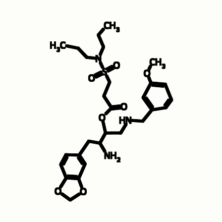 CCCN(CCC)S(=O)(=O)CCC(=O)OC(CNCc1cccc(OC)c1)C(N)Cc1ccc2c(c1)OCO2